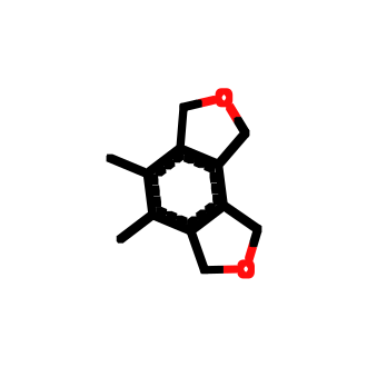 Cc1c(C)c2c(c3c1COC3)COC2